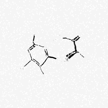 CC(=O)C(C)=O.Nc1cc(Cl)nc(C(=O)O)c1Cl